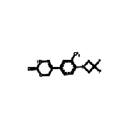 O=C1NN=C(c2ccc(N3CC(F)(F)C3)c(C(F)(F)F)c2)CO1